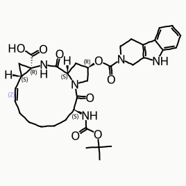 CC(C)(C)OC(=O)N[C@H]1CCCCC/C=C\[C@@H]2C[C@@]2(C(=O)O)NC(=O)[C@@H]2C[C@@H](OC(=O)N3CCc4c([nH]c5ccccc45)C3)CN2C1=O